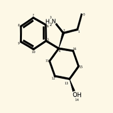 CCC(N)[C@]1(c2ccccc2)CC[C@H](O)CC1